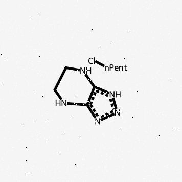 C1CNc2[nH]nnc2N1.CCCCCCl